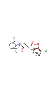 CC1(CCC(=O)CN2[C@@H]3CC[C@H]2C[C@H](CCC(=O)c2cccc(Cl)c2)C3)COC1